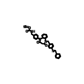 CC(C)(C)OC(=O)NCc1ccc(N2C(=O)CC(=O)N(Cc3ccc(/N=C/c4ccccc4)cc3)c3ccccc32)cc1